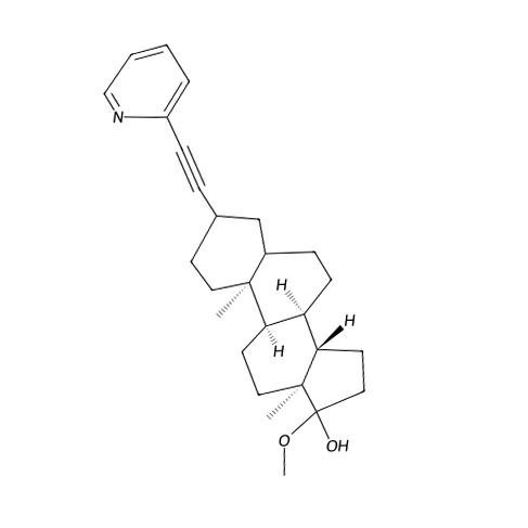 COC1(O)CC[C@H]2[C@@H]3CCC4CC(C#Cc5ccccn5)CC[C@]4(C)[C@@H]3CC[C@@]21C